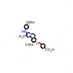 COc1ccc(NC2=C(C)CC3c4cc(OC)c(OCc5ccc(C(=O)O)cc5)cc4CCN3C2)cc1